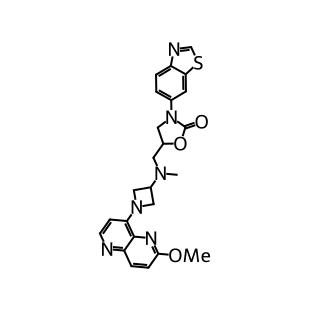 COc1ccc2nccc(N3CC(N(C)CC4CN(c5ccc6ncsc6c5)C(=O)O4)C3)c2n1